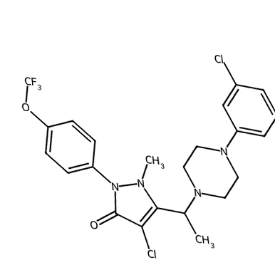 CC(c1c(Cl)c(=O)n(-c2ccc(OC(F)(F)F)cc2)n1C)N1CCN(c2cccc(Cl)c2)CC1